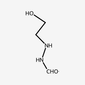 O=[C]NNCCO